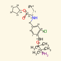 CC(C)C[C@H](NCc1ccc(BOC(C)(C)C(C)(C)P)c(Cl)c1)C(=O)OC1CCCC1